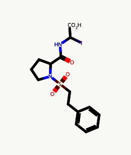 O=C(O)C(I)NC(=O)C1CCCN1S(=O)(=O)CCc1ccccc1